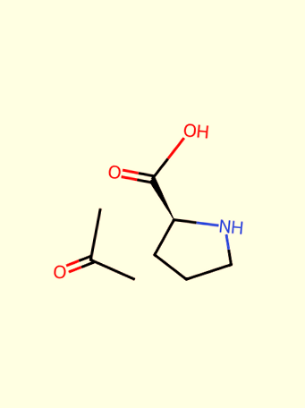 CC(C)=O.O=C(O)[C@@H]1CCCN1